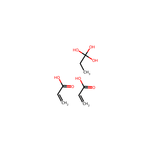 C=CC(=O)O.C=CC(=O)O.CCC(O)(O)O